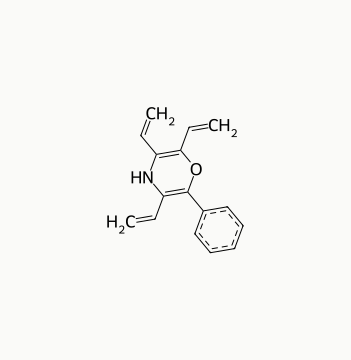 C=CC1=C(C=C)OC(c2ccccc2)=C(C=C)N1